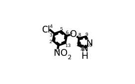 O=[N+]([O-])c1cc(Cl)cc(Oc2cn[nH]c2)c1